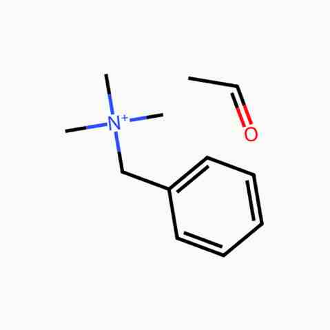 CC=O.C[N+](C)(C)Cc1ccccc1